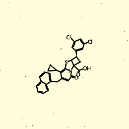 O=C(O)C12C[C@H](c3cc(Cl)cc(Cl)c3)C1Sc1c(C3CC3)c(Cc3cccc4ccccc34)cc(=O)n12